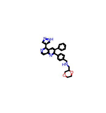 c1ccc(-c2cc3c(-c4cn[nH]c4)nccc3nc2-c2ccc(CNCC3COCCO3)cc2)cc1